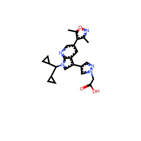 Cc1noc(C)c1-c1cnc2c(c1)c(-c1cnn(CC(=O)O)c1)cn2C(C1CC1)C1CC1